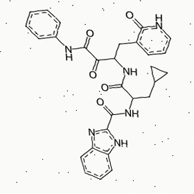 O=C(Nc1ccccc1)C(=O)C(Cc1ccc[nH]c1=O)NC(=O)C(CC1CC1)NC(=O)c1nc2ccccc2[nH]1